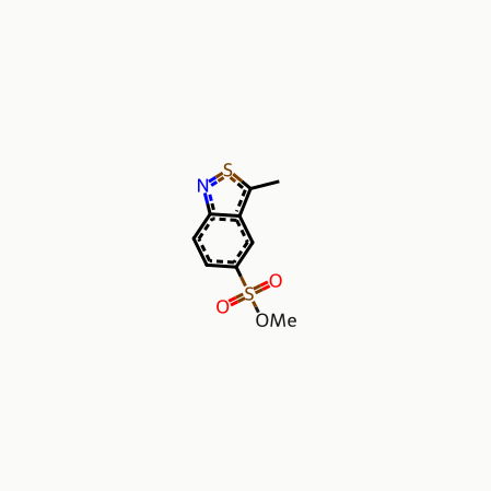 COS(=O)(=O)c1ccc2nsc(C)c2c1